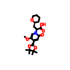 COc1cn(C(C[C@@H]2CCCCO2)C(=O)O)c(=O)cc1B1OC(C)(C)C(C)(C)O1